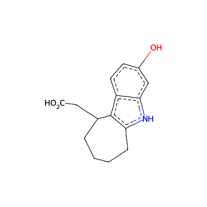 O=C(O)CC1CCCCc2[nH]c3cc(O)ccc3c21